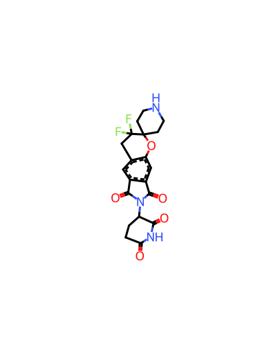 O=C1CCC(N2C(=O)c3cc4c(cc3C2=O)OC2(CCNCC2)C(F)(F)C4)C(=O)N1